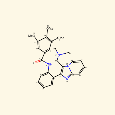 COc1cc(C(=O)Nc2ccccc2-c2nc3ccccn3c2CN(C)C)cc(OC)c1OC